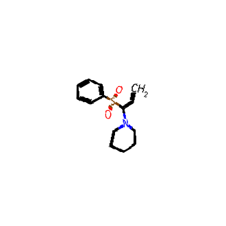 C=CC(N1CCCCC1)S(=O)(=O)c1ccccc1